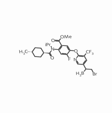 BC(CBr)c1cnc(Oc2cc(C(=O)OC)c(N(C(=O)[C@H]3CC[C@H](C)CC3)C(C)C)cc2F)c(C(F)(F)F)c1